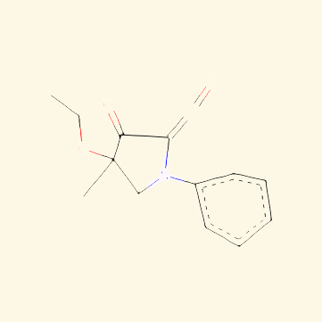 CCOC1(C)CN(c2ccccc2)C(=C=O)C1=O